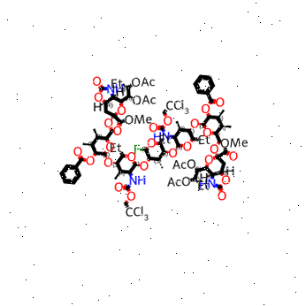 CCC1O[C@@H](OC2[C@@H](C)[C@H](O[C@@H]3OC(CC)[C@@H](O[C@@H]4OC(CO[C@]5(C(=O)OC)C[C@H]6OC(=O)N[C@H]6C([C@H](OC(C)=O)[C@@H](CC)OC(C)=O)O5)[C@H](C)[C@H](C)C4OC(=O)c4ccccc4)[C@H](C)C3NC(=O)OCC(Cl)(Cl)Cl)C(CC)O[C@@H]2F)C(NC(=O)OCC(Cl)(Cl)Cl)[C@@H](C)[C@@H]1O[C@@H]1OC(CO[C@]2(C(=O)OC)C[C@H]3OC(=O)N[C@H]3C([C@H](OC(C)=O)[C@@H](CC)OC(C)=O)O2)[C@H](C)[C@H](C)C1OC(=O)c1ccccc1